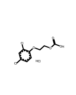 Cl.O=C(O)OCCOc1ccc(Cl)cc1Cl